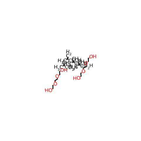 C=C(C)C(=O)O.C=C(C)C(=O)O.C=C(C)C(=O)O.C=C(C)C(=O)O.OCCOCCOCCO.OCCOCCOCCO